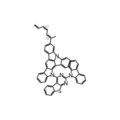 C=C/C=C\C=C(/C)c1ccc2c3cc4c5ccccc5n(-c5nc(-n6c7ccccc7c7ccccc76)nc6sc7ccccc7c56)c4c4c5ccccc5n(c2c1)c34